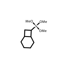 CO[Si](OC)(OC)C1CC2CCCCC21